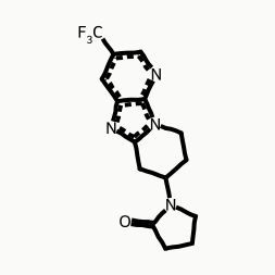 O=C1CCCN1C1CCn2c(nc3cc(C(F)(F)F)cnc32)C1